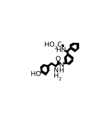 N[C@@H](Cc1ccc(O)cc1)C(=O)Nc1cccc(C(NCC(=O)O)c2ccccc2)c1